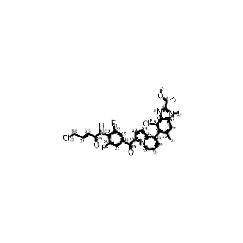 CO[C@H](C)c1nc2c(Cl)c(-c3cccn4c(C(=O)c5cc(F)c(NC(=O)/C=C/CCl)c(F)c5)ccc34)c(C)cc2n1C